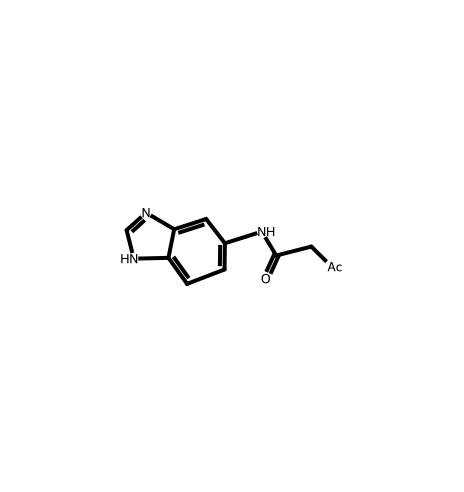 CC(=O)CC(=O)Nc1ccc2[nH]cnc2c1